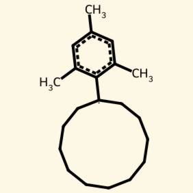 Cc1cc(C)c([C]2CCCCCCCCCCC2)c(C)c1